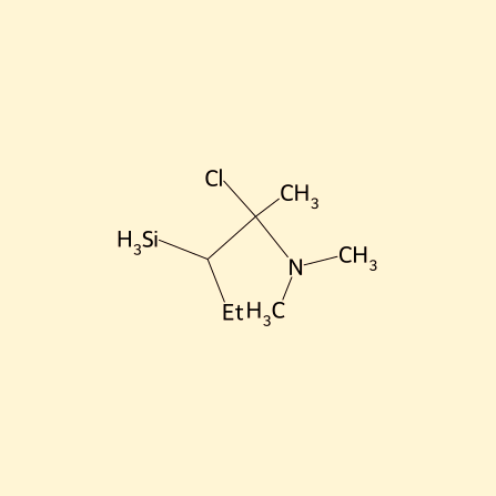 CCC([SiH3])C(C)(Cl)N(C)C